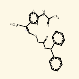 O=C(CO/N=C(/C(=O)O)c1csc(NC(=O)C(F)(F)F)n1)OC(c1ccccc1)c1ccccc1